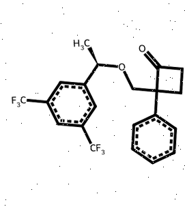 C[C@@H](OCC1(c2ccccc2)CCC1=O)c1cc(C(F)(F)F)cc(C(F)(F)F)c1